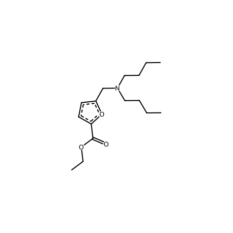 CCCCN(CCCC)Cc1ccc(C(=O)OCC)o1